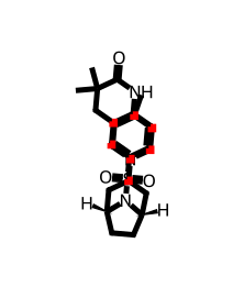 CC1CCN(C2C[C@H]3CC[C@@H](C2)N3S(=O)(=O)c2ccc3c(c2)CC(C)(C)C(=O)N3)CC1